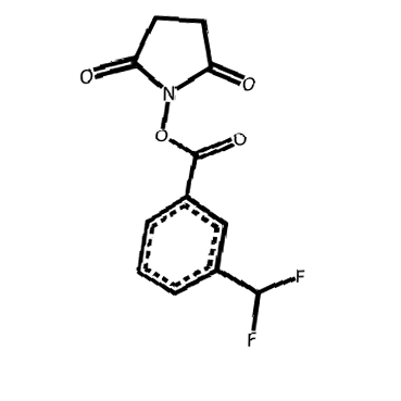 O=C(ON1C(=O)CCC1=O)c1cccc(C(F)F)c1